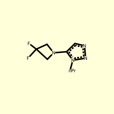 CCCn1nncc1N1CC(F)(F)C1